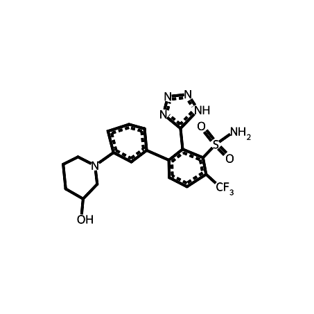 NS(=O)(=O)c1c(C(F)(F)F)ccc(-c2cccc(N3CCCC(O)C3)c2)c1-c1nnn[nH]1